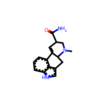 CN1CC(C(N)=O)C=C2c3cccc4[nH]cc(c34)CC21